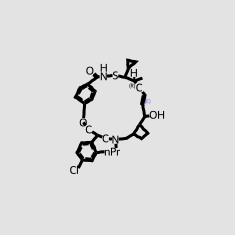 CCCc1cc(Cl)ccc1C1COc2ccc(cc2)C(=O)NSC(C2CC2)[C@H](C)C/C=C/C(O)C2CCC2CN(C)C1